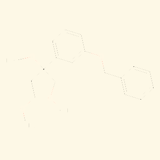 COCCC(COC)(OC)c1cccc(OCc2ccccc2)c1